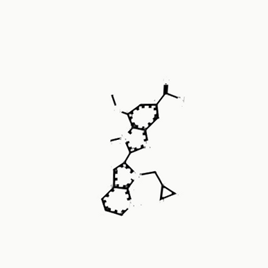 COc1cc(C(N)=O)cc2nc(-c3cc4cccnc4n3CC3CC3)n(C)c12